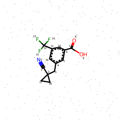 N#CC1(Cc2cc(C(=O)O)cc(C(F)(F)F)c2)CC1